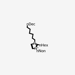 CCCCCCCCCCCCCCCCn1cc[n+](CCCCCCCCC)c1CCCCCC